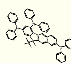 CC1([Si](C)(C)C)c2cc3cc(N(c4ccccc4)c4ccccc4)ccc3cc2-c2c(N(c3ccccc3)c3ccccc3)cc(N(c3ccccc3)c3ccccc3)cc21